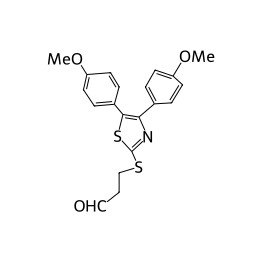 COc1ccc(-c2nc(SCCC=O)sc2-c2ccc(OC)cc2)cc1